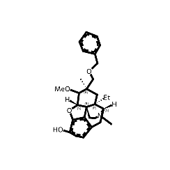 CC[C@@]12C[C@](C)(COCc3ccccc3)C(OC)[C@H]3Oc4c(O)ccc5c4[C@]31CCN(C)[C@H]2C5